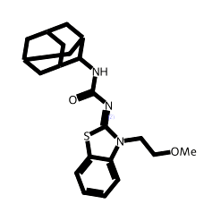 COCCn1/c(=N/C(=O)NC2C3CC4CC(C3)CC2C4)sc2ccccc21